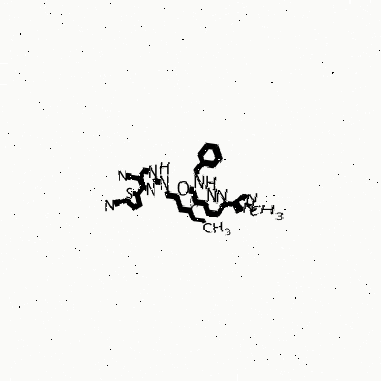 CCCC(CCCNc1ncc(C#N)c(-c2ccc(C#N)s2)n1)[C@H](C(=O)NCc1ccccc1)c1ccc(-c2cnn(C)c2)nn1